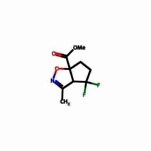 COC(=O)C12CCC(F)(F)C1C(C)=NO2